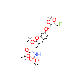 CC(C)(C)OC(=O)N[C@@H](CCC(Cc1ccc(OC[C@@H]2OC(C)(C)O[C@H]2CF)cc1)C(=O)OC(C)(C)C)C(=O)OC(C)(C)C